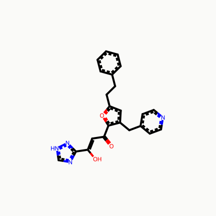 O=C(C=C(O)c1nc[nH]n1)c1oc(CCc2ccccc2)cc1Cc1ccncc1